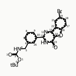 CC(C)(C)OC(=O)NCc1cccc(-c2nc3c(oc4ccc(Br)cc43)c(=O)[nH]2)c1